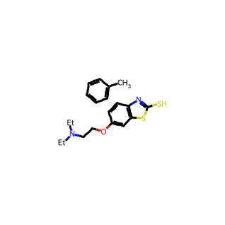 CCN(CC)CCOc1ccc2nc(S)sc2c1.Cc1ccccc1